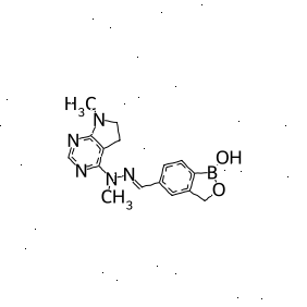 CN1CCc2c1ncnc2N(C)/N=C/c1ccc2c(c1)COB2O